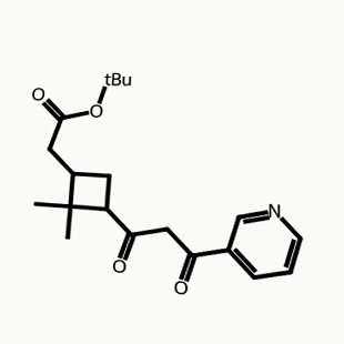 CC(C)(C)OC(=O)CC1CC(C(=O)CC(=O)c2cccnc2)C1(C)C